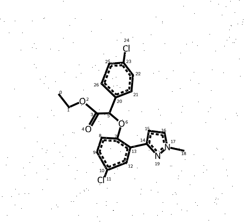 CCOC(=O)C(Oc1ccc(Cl)cc1-c1ccn(C)n1)c1ccc(Cl)cc1